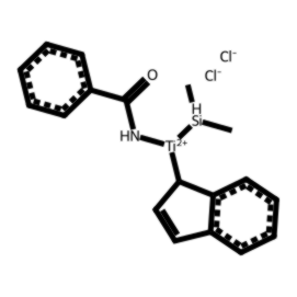 C[SiH](C)[Ti+2]([NH]C(=O)c1ccccc1)[CH]1C=Cc2ccccc21.[Cl-].[Cl-]